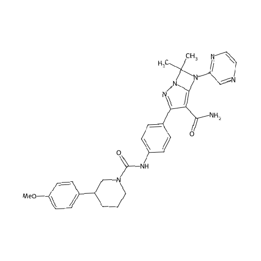 COc1ccc(C2CCCN(C(=O)Nc3ccc(-c4nn5c(c4C(N)=O)N(c4cnccn4)C5(C)C)cc3)C2)cc1